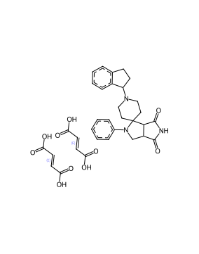 O=C(O)/C=C/C(=O)O.O=C(O)/C=C/C(=O)O.O=C1NC(=O)C2C1CN(c1ccccc1)C21CCN(C2CCc3ccccc32)CC1